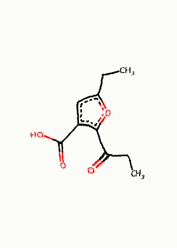 CCC(=O)c1oc(CC)cc1C(=O)O